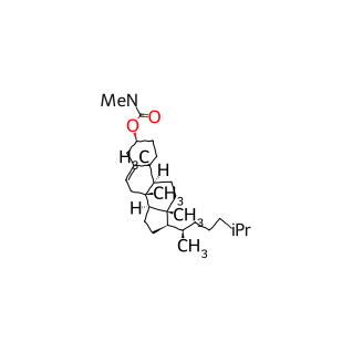 CNC(=O)O[C@H]1CC[C@@]2(C)C(=CC[C@@]3(C)[C@@H]4CC[C@H]([C@H](C)CCCC(C)C)[C@@]4(C)CC[C@@H]32)C1